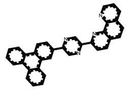 c1cnc2c(c1)ccc1ccc(-c3cnc(-c4ccc5c6ccccc6c6ccccc6c5c4)cn3)nc12